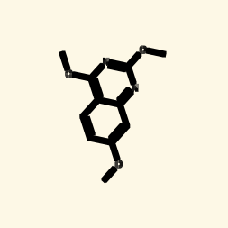 COc1ccc2c(OC)nc(OC)nc2c1